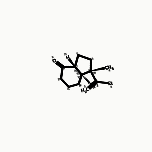 C=C(CC)[C@@]1(C)CC[C@H]2C(=O)CCC[C@@]21C